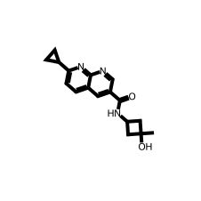 CC1(O)CC(NC(=O)c2cnc3nc(C4CC4)ccc3c2)C1